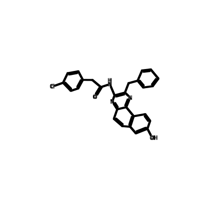 O=C(Cc1ccc(Cl)cc1)Nc1nc2ccc3cc(O)ccc3c2nc1Cc1ccccc1